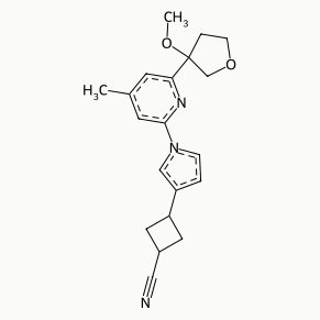 COC1(c2cc(C)cc(-n3ccc(C4CC(C#N)C4)c3)n2)CCOC1